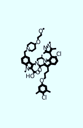 COCCOC1CCN(Cc2ccc3c(c2)c(N2C[C@@H](C)n4c(c(CCCOc5cc(C)c(Cl)c(C)c5)c5ccc(Cl)c(-c6c(C)nn(C)c6C)c54)C2=O)c(C(=O)O)n3C)CC1